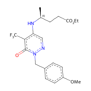 CCOC(=O)CC[C@H](C)Nc1cnn(Cc2ccc(OC)cc2)c(=O)c1C(F)(F)F